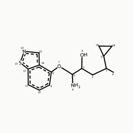 CC(CC(O)C(N)Oc1cccc2sncc12)C1CC1